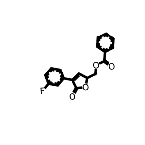 O=C1OC(COC(=O)c2ccccc2)C=C1c1cccc(F)c1